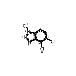 Clc1ccc2c(nnn2Cl)c1Cl